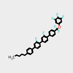 CCCCCc1ccc(-c2ccc(-c3ccc(-c4ccc(C(F)(F)Oc5cc(F)c(F)c(F)c5)cc4)c(F)c3)c(F)c2)cc1